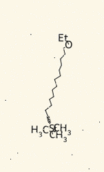 CCOCCCCCCCCCCCCCC#C[Si](C)(C)C